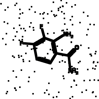 NC(=O)c1ccc(F)c(F)c1N